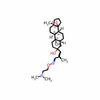 CC(C=NOCCN(C)C)=C[C@]1(O)CC[C@@]2(C)[C@H](CC[C@@H]3[C@@H]2CC[C@]2(C)CCC[C@]32O)C1